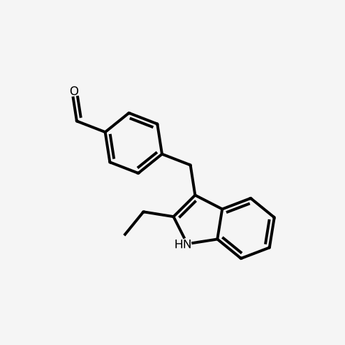 CCc1[nH]c2ccccc2c1Cc1ccc(C=O)cc1